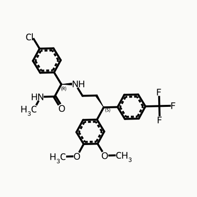 CNC(=O)[C@H](NCC[C@@H](c1ccc(C(F)(F)F)cc1)c1ccc(OC)c(OC)c1)c1ccc(Cl)cc1